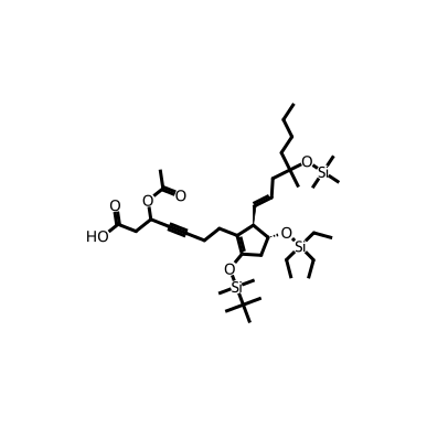 CCCCC(C)(C/C=C/[C@@H]1C(CCC#CC(CC(=O)O)OC(C)=O)=C(O[Si](C)(C)C(C)(C)C)C[C@H]1O[Si](CC)(CC)CC)O[Si](C)(C)C